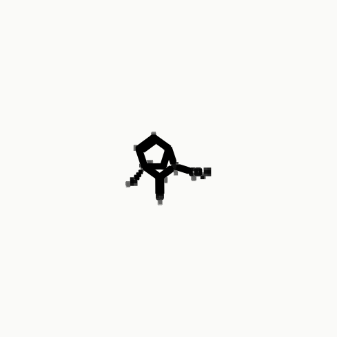 O=C(O)N1C(=O)[C@H]2C=CC1C2